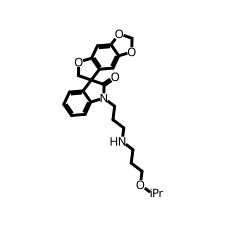 CC(C)OCCCNCCCN1C(=O)C2(COc3cc4c(cc32)OCO4)c2ccccc21